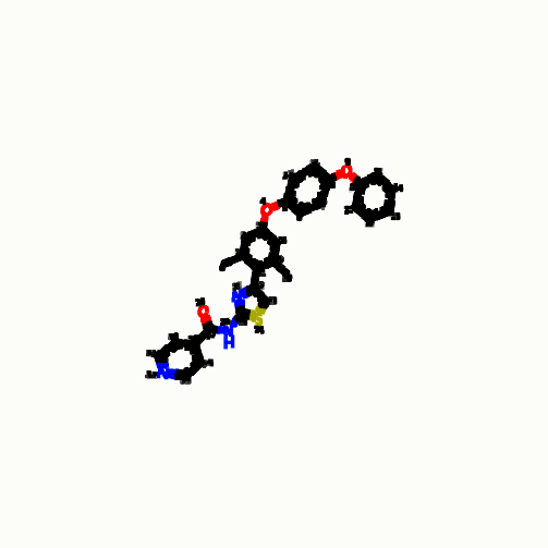 Cc1cc(Oc2ccc(Oc3ccccc3)cc2)cc(C)c1-c1csc(NC(=O)c2ccncc2)n1